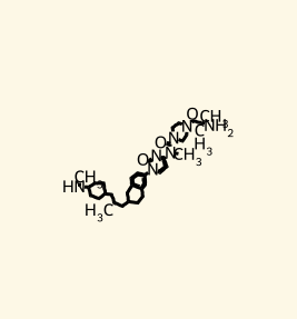 CNC1CCC(CC(C)CC2CCc3cc(-n4ccc(N(C)C(=O)N5CCN(C(=O)C(C)(C)N)CC5)nc4=O)ccc3C2)CC1